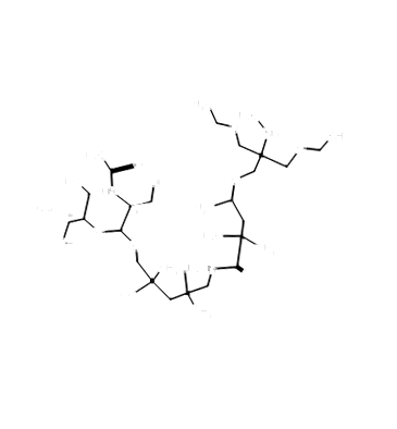 CCOCC(COCC)(COC(C)CC(C)(C)C(=O)NCC(C)(C)CC(C)(C)COC(OC(CO)[C@@H](C)O)[C@H](CO)NC(C)=O)NC